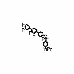 CCCC1CCC(C(F)(F)Oc2ccc(-c3ccc(-c4ccc(F)c(F)c4)c(F)c3F)cc2)CC1